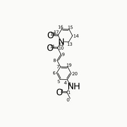 CC(=O)Nc1ccc(/C=C/C(=O)N2CCC=CC2=O)cc1